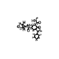 CNC(=O)c1cc(C(=O)N[C@H]2[C@@H]3COC[C@@H]32)cc2c1OC[C@H]2c1ccccc1